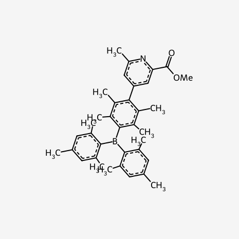 COC(=O)c1cc(-c2c(C)c(C)c(B(c3c(C)cc(C)cc3C)c3c(C)cc(C)cc3C)c(C)c2C)cc(C)n1